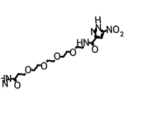 NNC(=O)CCOCCOCCOCCOCCNC(=O)c1cc([N+](=O)[O-])[nH]n1